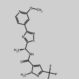 COc1cc(-c2nsc([C@H](C)NC(=O)c3cc(C(F)(F)F)nn3C)n2)ccn1